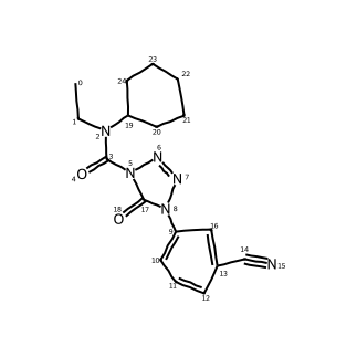 CCN(C(=O)n1nnn(-c2cccc(C#N)c2)c1=O)C1CCCCC1